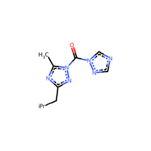 Cc1nc(CC(C)C)nn1C(=O)n1cncn1